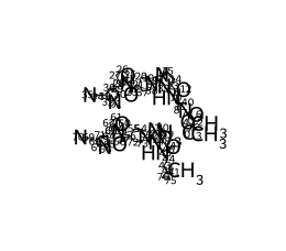 CC(C)(C)OC(=O)N1CC(NC(=O)c2ccnc(N3CCC(C(=O)N4OCC[C@H]4c4cncc(C#N)c4)CC3)n2)C1.CC1(CCNC(=O)c2ccnc(N3CCC(C(=O)N4OCC[C@H]4c4cncc(C#N)c4)CC3)n2)CC1